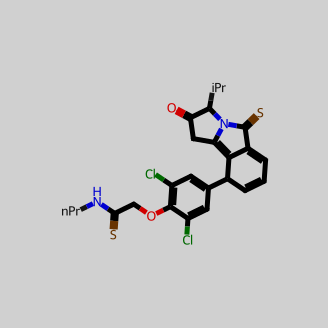 CCCNC(=S)COc1c(Cl)cc(C2C=CC=C3C(=S)N4C(=C32)CC(=O)C4C(C)C)cc1Cl